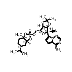 C=C(C)[C@H]1CC[C@@]2(C)O[P@@](=O)(OC[C@H]3O[C@@](C#N)(c4ccc5c(N)ncnn45)[C@@H]4OC(C)(C)O[C@@H]43)O[C@@H]2C1